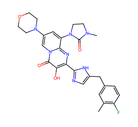 Cc1cc(Cc2cnc(-c3nc4c(N5CCN(C)C5=O)cc(N5CCOCC5)cn4c(=O)c3O)[nH]2)ccc1F